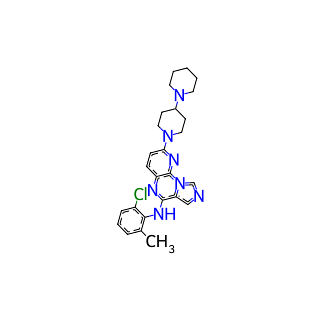 Cc1cccc(Cl)c1Nc1nc2ccc(N3CCC(N4CCCCC4)CC3)nc2n2cncc12